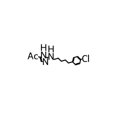 CC(=O)c1cnc(NCCCCCc2ccc(Cl)cc2)[nH]1